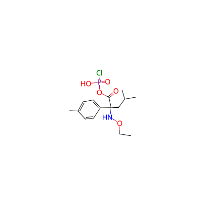 CCON[C@@](CC(C)C)(C(=O)OP(=O)(O)Cl)c1ccc(C)cc1